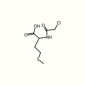 CSCCC(NC(=O)CCl)C(=O)O